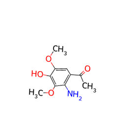 COc1cc(C(C)=O)c(N)c(OC)c1O